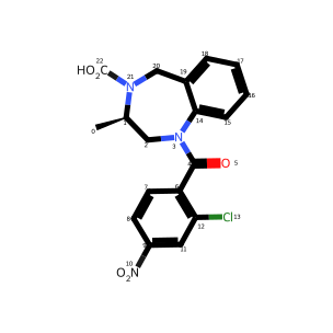 C[C@@H]1CN(C(=O)c2ccc([N+](=O)[O-])cc2Cl)c2ccccc2CN1C(=O)O